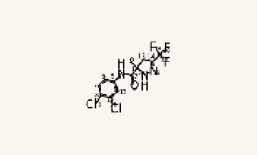 CC1(C(=O)Nc2ccc(Cl)c(Cl)c2)CC(C(F)(F)F)=NN1